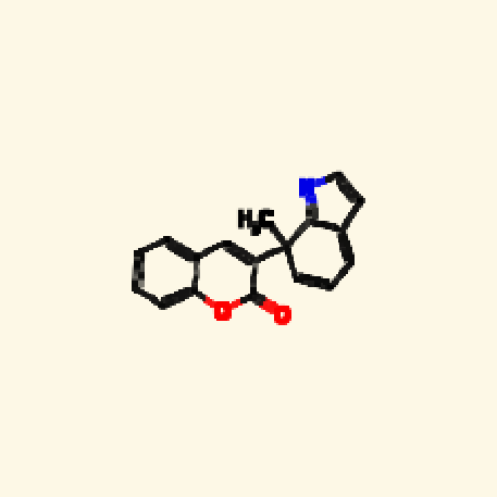 CC1(c2cc3ccccc3oc2=O)C=CC=C2C=CN=C21